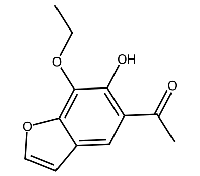 CCOc1c(O)c(C(C)=O)cc2ccoc12